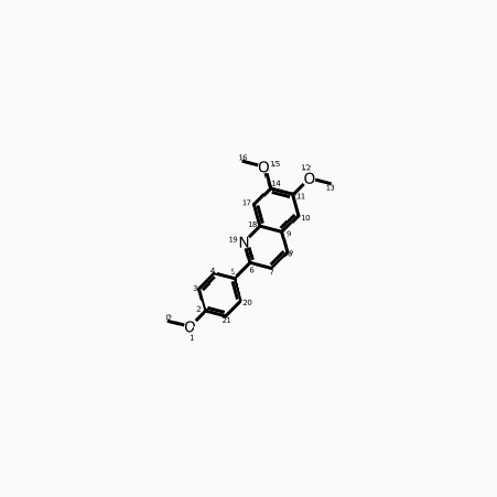 COc1ccc(-c2ccc3cc(OC)c(OC)cc3n2)cc1